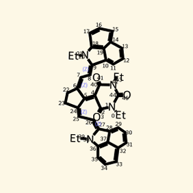 CCN1C(=O)C(=C2/C(=C\C=c3\c4cccc5cccc(c54)n3CC)CC/C2=C/C=c2/c3cccc4cccc(c43)n2CC)C(=O)N(CC)C1=O